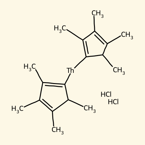 CC1=C(C)C(C)[C]([Th][C]2=C(C)C(C)=C(C)C2C)=C1C.Cl.Cl